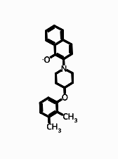 Cc1cccc(OC2CCN(c3ccc4ccccc4c3[O])CC2)c1C